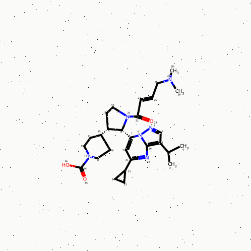 CC(C)c1cnn2c([C@@H]3[C@H](C4CCN(C(=O)O)CC4)CCN3C(=O)/C=C/CN(C)C)cc(C3CC3)nc12